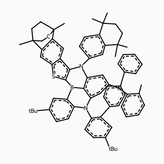 Cc1ccccc1N(c1ccccc1)c1cc2c3c(c1)N(c1ccc4c(c1)C(C)(C)CCC4(C)C)c1c(sc4cc5c(cc14)C1(C)CCC5(C)CC1)B3c1cc(C(C)(C)C)ccc1N2c1ccc(C(C)(C)C)cc1-c1ccccc1